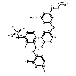 COc1cc(OCC(=O)O)cc(Oc2ccc(CN(Cc3ccc(F)cc3F)c3cccc(NS(C)(=O)=O)c3C)cc2)c1